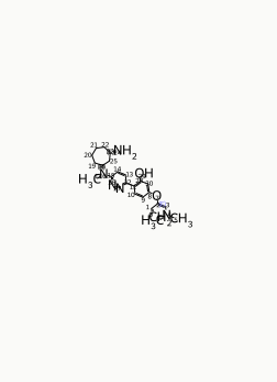 C=C/C(=C\N(C)C)Oc1ccc(-c2ccc(N(C)[C@@H]3CCCC[C@H](N)C3)nn2)c(O)c1